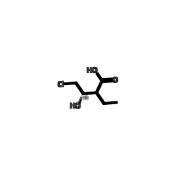 CCC(C(=O)O)[C@H](O)CCl